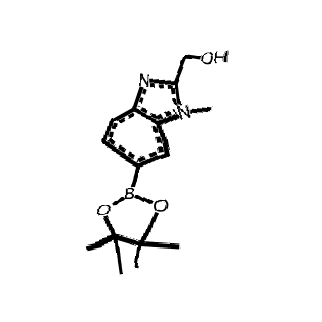 Cn1c(CO)nc2ccc(B3OC(C)(C)C(C)(C)O3)cc21